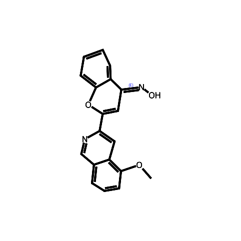 COc1cccc2cnc(-c3c/c(=N\O)c4ccccc4o3)cc12